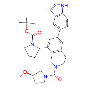 CO[C@@H]1CCN(C(=O)N2CCc3cc(-c4ccc5[nH]cc(C)c5c4)cc([C@@H]4CCCN4C(=O)OC(C)(C)C)c3C2)C1